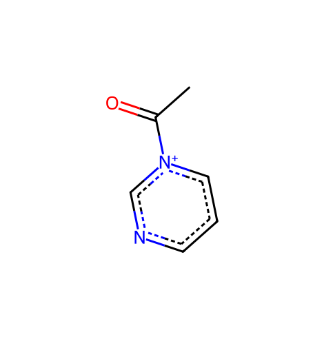 CC(=O)[n+]1cccnc1